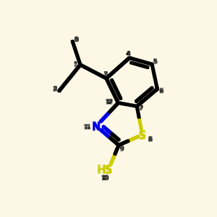 CC(C)c1cccc2sc(S)nc12